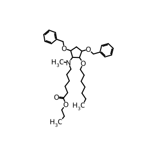 CCCCCCCOC1C(OCc2ccccc2)CC(OCc2ccccc2)C1N(C)CCCCCC(=O)OCCC